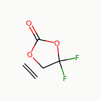 C=C.O=C1OCC(F)(F)O1